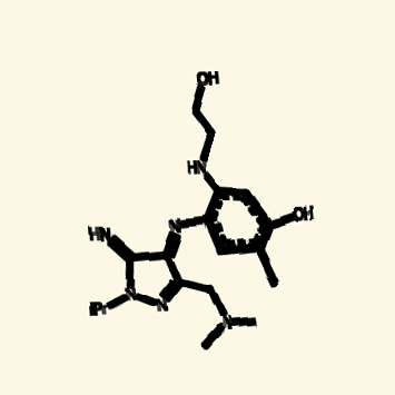 Cc1cc(N=C2C(=N)N(C(C)C)N=C2CN(C)C)c(NCCO)cc1O